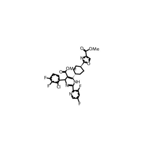 COC(=O)C1=C([C@H]2CC[C@H](c3nc(C(=O)OC)co3)CC2)NC(c2ncc(F)cc2F)=NC1c1ccc(F)c(F)c1Cl